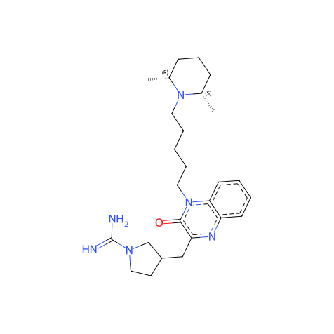 C[C@@H]1CCC[C@H](C)N1CCCCCn1c(=O)c(CC2CCN(C(=N)N)C2)nc2ccccc21